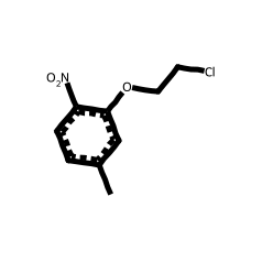 Cc1ccc([N+](=O)[O-])c(OCCCl)c1